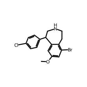 COc1cc(Br)c2c(c1)C(c1ccc(Cl)cc1)CNCC2